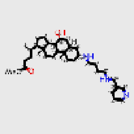 COC(=O)CC[C@@H](C)C1CCC2C3C(CC[C@@]21C)[C@@]1(C)CC[C@@H](NCCCCNCc2cccnc2)C[C@@H]1C[C@H]3O